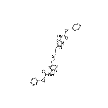 O=C(Nc1nnc(CCSCCc2nnc(NC(=O)[C@H]3C[C@@H]3c3ccccc3)s2)s1)C1C[C@@H]1c1ccccc1